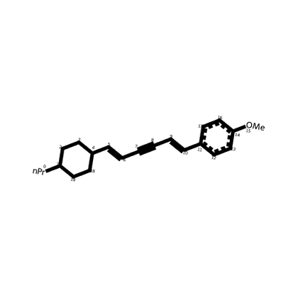 CCCC1CCC(C=CC#CC=Cc2ccc(OC)cc2)CC1